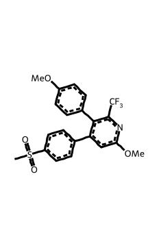 COc1ccc(-c2c(-c3ccc(S(C)(=O)=O)cc3)cc(OC)nc2C(F)(F)F)cc1